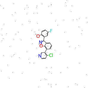 COc1ccc(F)cc1-c1noc2c(-c3cnccc3Cl)cccc12